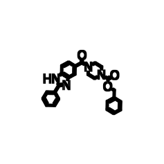 O=C(OCc1ccccc1)N1CCN(C(=O)c2ccc3[nH]c(-c4ccccc4)nc3c2)CC1